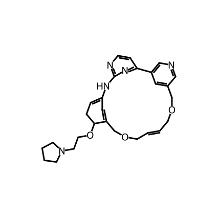 C1=C2C=C(COC/C=C/COCc3cncc(c3)-c3ccnc(n3)N2)C(OCCN2CCCC2)C1